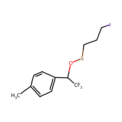 Cc1ccc(C(OSCCCI)C(F)(F)F)cc1